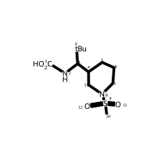 CC(C)(C)C(NC(=O)O)C1CCCN(S(C)(=O)=O)C1